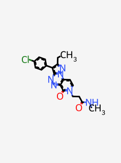 CCc1nn2c(nnc3c(=O)n(CCC(=O)NC)ccc32)c1-c1ccc(Cl)cc1